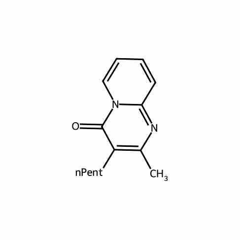 CCCCCc1c(C)nc2ccccn2c1=O